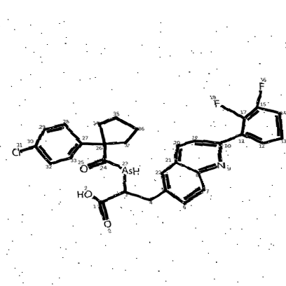 O=C(O)C(Cc1ccc2nc(-c3cccc(F)c3F)ccc2c1)[AsH]C(=O)C1(c2ccc(Cl)cc2)CCCC1